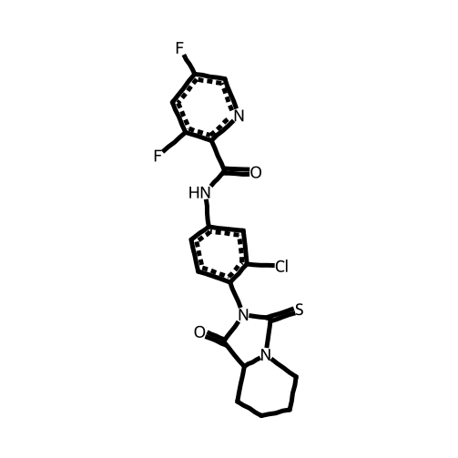 O=C(Nc1ccc(N2C(=O)C3CCCCN3C2=S)c(Cl)c1)c1ncc(F)cc1F